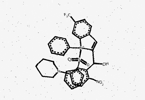 O=[N+]([O-])c1ccc(N2CCCCC2)cc1C(O)C1=Cc2ccc(C(F)(F)F)cc2[N+]1(c1ccccc1)S(=O)(=O)c1ccccc1